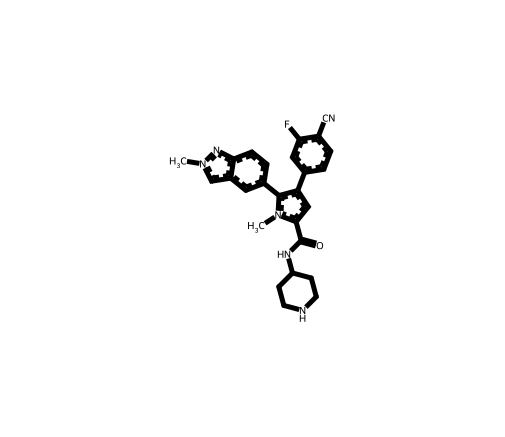 Cn1cc2cc(-c3c(-c4ccc(C#N)c(F)c4)cc(C(=O)NC4CCNCC4)n3C)ccc2n1